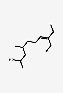 CCC(=CCCC(C)CC(C)O)CC